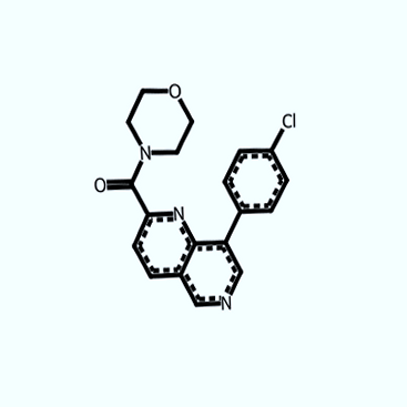 O=C(c1ccc2cncc(-c3ccc(Cl)cc3)c2n1)N1CCOCC1